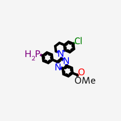 COC(=O)c1ccc2nc(-c3ccc(P)cc3)c(N3CCCc4cc(Cl)ccc43)nc2c1